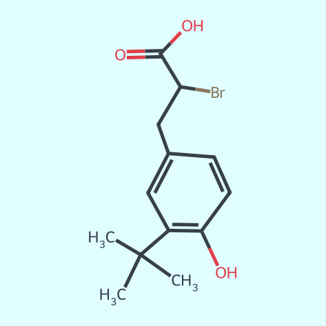 CC(C)(C)c1cc(CC(Br)C(=O)O)ccc1O